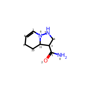 NC(=O)C1CNN2C=CCCC12